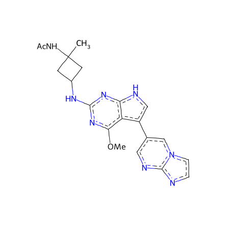 COc1nc(NC2CC(C)(NC(C)=O)C2)nc2[nH]cc(-c3cnc4nccn4c3)c12